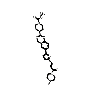 CN1CCN(C(=O)/C=C/c2ccc(-c3ccc4c(c3)COC(C3CCN(C(=O)OC(C)(C)C)CC3)O4)s2)CC1